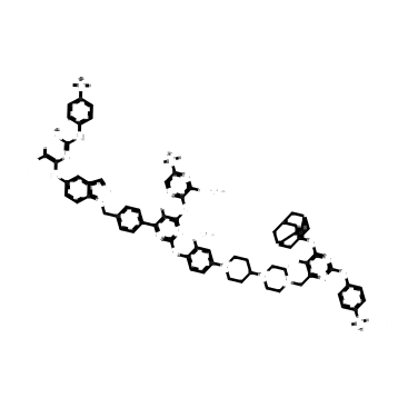 C=N/C(=N\C(Nc1ccc2c(cnn2Cc2ccc(-c3nc(Nc4ccc(N5CCC(N6CCN(Cc7nc(Nc8ccc(P(C)(C)=O)cc8)nc(NC89CC%10CC(CC(C%10)C8)C9)c7C(F)(F)F)CC6)CC5)cc4OC)nc(Nc4ncc(P(C)(C)=O)nc4OC)c3Cl)cc2)c1)=C(/C)C(F)(F)F)Nc1ccc(P(C)(C)=O)cc1